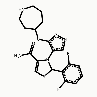 NC(=O)C1=CSC(c2c(F)cccc2F)N1c1cnsc1OC1CCCNCC1